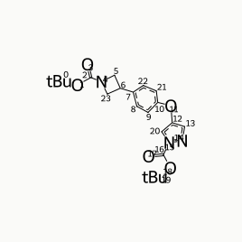 CC(C)(C)OC(=O)N1CC(c2ccc(Oc3cnn(C(=O)OC(C)(C)C)c3)cc2)C1